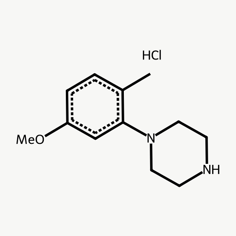 COc1ccc(C)c(N2CCNCC2)c1.Cl